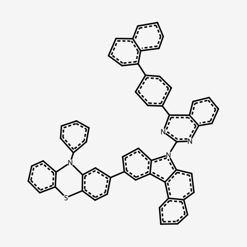 c1ccc(N2c3ccccc3Sc3ccc(-c4ccc5c(c4)c4c6ccccc6ccc4n5-c4nc(-c5ccc(-c6cccc7ccccc67)cc5)c5ccccc5n4)cc32)cc1